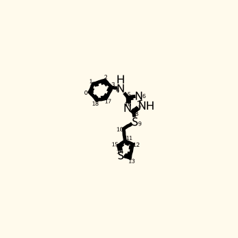 c1ccc(Nc2n[nH]c(SCc3ccsc3)n2)cc1